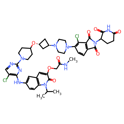 CNC(=O)COc1cc2cc(Nc3nc(N4CCC(O[C@H]5C[C@H](N6CCN(c7ccc8c(c7Cl)C(=O)N(C7CCC(=O)NC7=O)C8=O)CC6)C5)CC4)ncc3Cl)ccc2n(C(C)C)c1=O